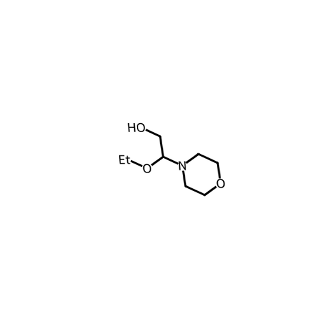 CCOC(CO)N1CCOCC1